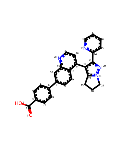 O=C(O)c1ccc(-c2ccc3c(-c4c(-c5ccccn5)nn5c4CCC5)ccnc3c2)cc1